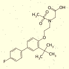 CC(C)(C)c1cc(-c2ccc(F)cc2)ccc1OCCN(CC(=O)O)S(C)(=O)=O